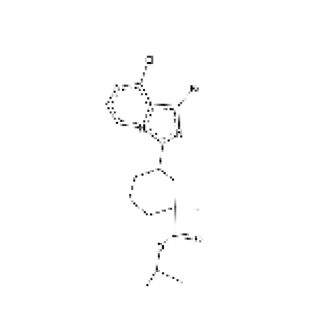 CC(C)OC(=O)C1(C)CCCC(c2nc(Br)c3c(Cl)nccn23)C1